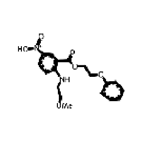 COCCNc1ccc([N+](=O)O)cc1C(=O)OCCOc1ccccc1